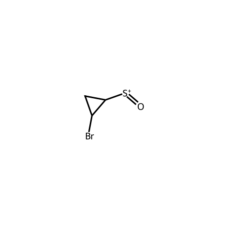 O=[S+]C1CC1Br